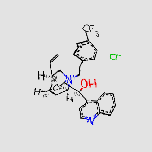 C=C[C@H]1C[N+]2(Cc3ccc(C(F)(F)F)cc3)CC[C@H]1C[C@@H]2[C@@H](O)c1ccnc2ccccc12.[Cl-]